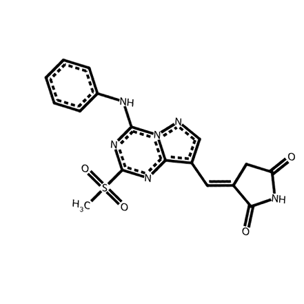 CS(=O)(=O)c1nc(Nc2ccccc2)n2ncc(C=C3CC(=O)NC3=O)c2n1